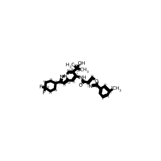 Cc1cccc(-c2nc(C(=O)Nc3cc4cc(C5CCC(F)(F)CC5)nn4cc3C(C)(C)O)co2)c1